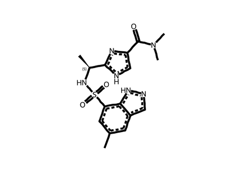 Cc1cc(S(=O)(=O)N[C@@H](C)c2nc(C(=O)N(C)C)c[nH]2)c2[nH]ncc2c1